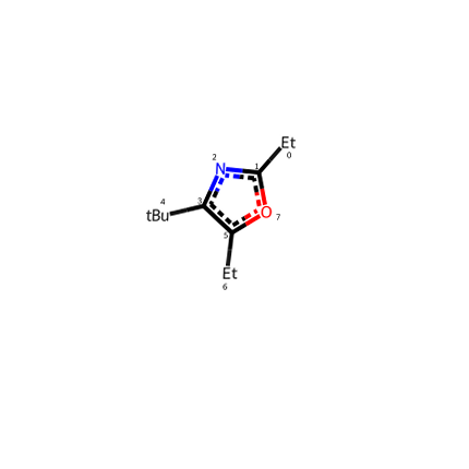 CCc1nc(C(C)(C)C)c(CC)o1